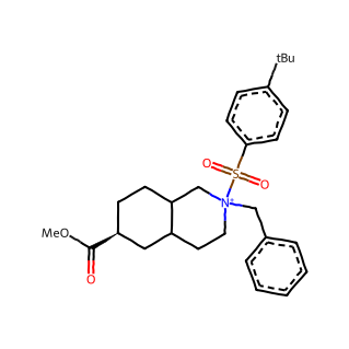 COC(=O)[C@H]1CCC2C[N+](Cc3ccccc3)(S(=O)(=O)c3ccc(C(C)(C)C)cc3)CCC2C1